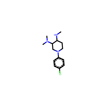 CNC1CCN(c2ccc(Cl)cc2)CC1N(C)C